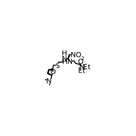 CCN(CC)C(=O)CCNC(=C[N+](=O)[O-])NCCSCc1ccc(CN(C)C)o1